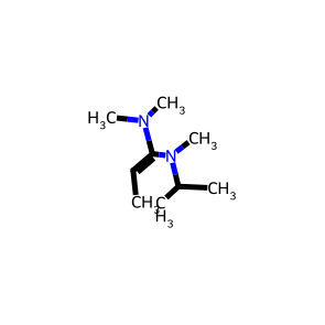 CC=C(N(C)C)N(C)C(C)C